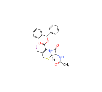 CC(=O)N[C@@H]1C(=O)N2C(C(=O)OC(c3ccccc3)c3ccccc3)=C(CI)CS[C@H]12